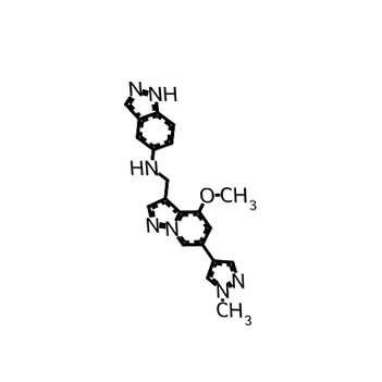 COc1cc(-c2cnn(C)c2)cn2ncc(CNc3ccc4[nH]ncc4c3)c12